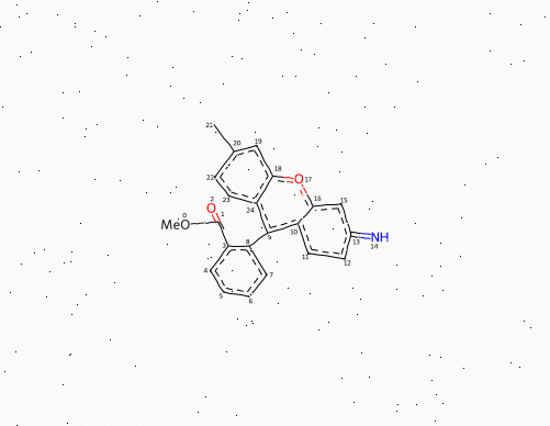 COC(=O)c1ccccc1-c1c2ccc(=N)cc-2oc2cc(C)ccc12